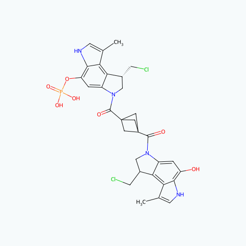 Cc1c[nH]c2c(O)cc3c(c12)C(CCl)CN3C(=O)C12CC(C(=O)N3C[C@@H](CCl)c4c3cc(OP(=O)(O)O)c3[nH]cc(C)c43)(C1)C2